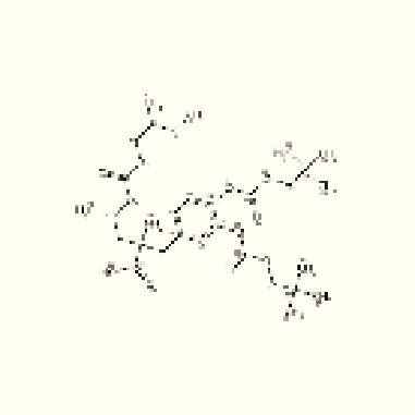 CCC(C)COC(=O)O[C@@H](C)CC(N)(Cc1ccc(OC(=O)OCC(C)(C)C)c(OC(=O)OCC(C)(C)C)c1)C(=O)O